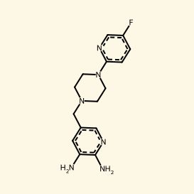 Nc1cc(CN2CCN(c3ccc(F)cn3)CC2)cnc1N